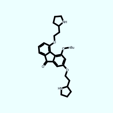 CCCCOc1cc(OCCC2CCCN2)cc2c1-c1c(OCCC3CCCN3)cccc1C2=O